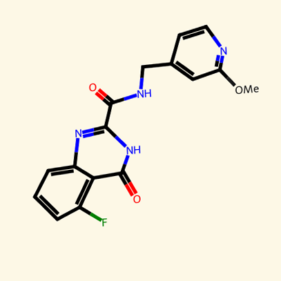 COc1cc(CNC(=O)c2nc3cccc(F)c3c(=O)[nH]2)ccn1